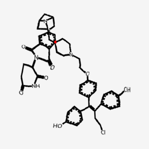 O=C1CCC(N2C(=O)c3ccc(N4C5CC4CN(CC4CCN(CCOc6ccc(C(=C(CCCl)c7ccc(O)cc7)c7ccc(O)cc7)cc6)CC4)C5)cc3C2=O)C(=O)N1